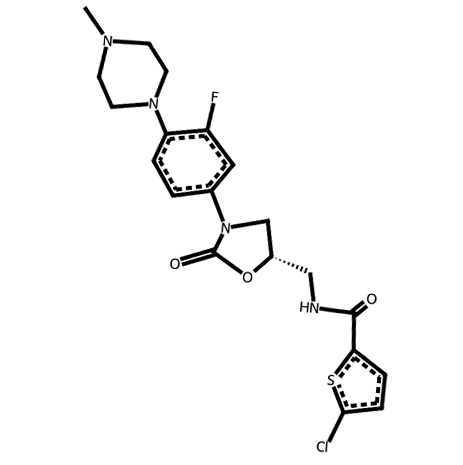 CN1CCN(c2ccc(N3C[C@H](CNC(=O)c4ccc(Cl)s4)OC3=O)cc2F)CC1